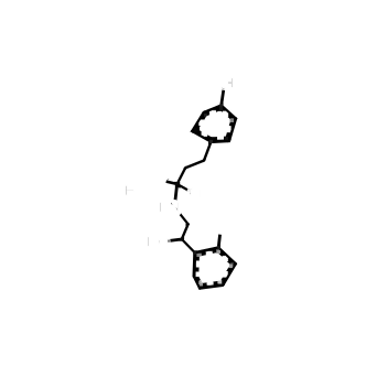 CC(C)(CCc1ccc(O)cc1)NCC(O)c1ccccc1F.Cl